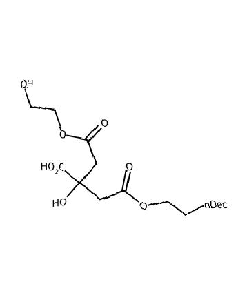 CCCCCCCCCCCCOC(=O)CC(O)(CC(=O)OCCO)C(=O)O